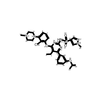 CCc1c(Oc2cccc(N3CCN(C)CC3)c2Cl)nc(NS(=O)(=O)c2cnn(C)c2)nc1-c1cccc(OC(C)C)c1